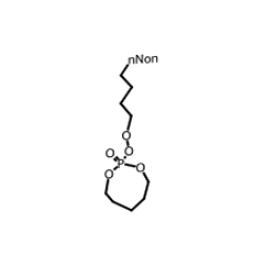 CCCCCCCCCCCCCOOP1(=O)OCCCCCO1